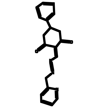 O=C1CC(c2ccccc2)CC(=O)C1=CN=NCc1ccccn1